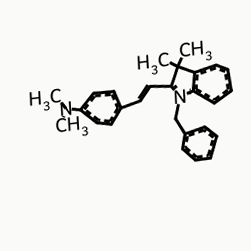 CN(C)c1ccc(/C=C/C2=[N+](Cc3ccccc3)c3ccccc3C2(C)C)cc1